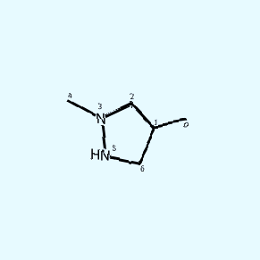 CC1[CH]N(C)NC1